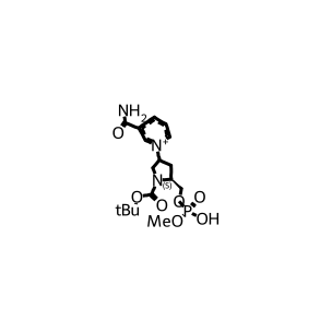 COP(=O)(O)OC[C@@H]1CC([n+]2cccc(C(N)=O)c2)CN1C(=O)OC(C)(C)C